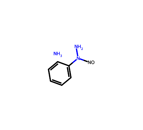 N.NN(N=O)c1ccccc1